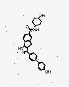 O=C(NC1CCC(O)CC1)c1ccc2c(c1)Cc1c(-c3ccc(-c4ccc(O)cc4)cc3)n[nH]c1-2